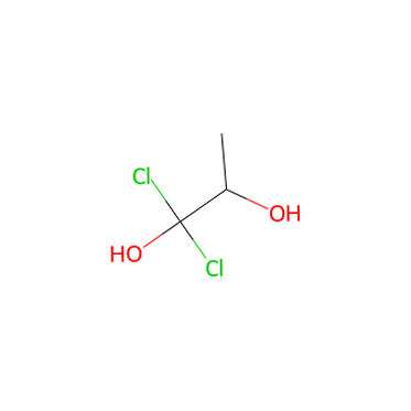 CC(O)C(O)(Cl)Cl